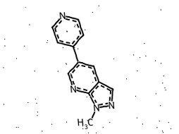 Cn1ncc2cc(-c3ccncc3)cnc21